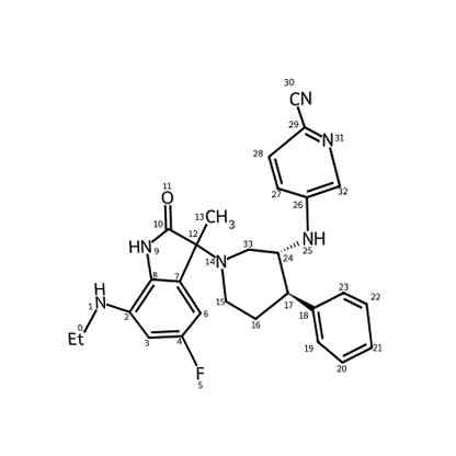 CCNc1cc(F)cc2c1NC(=O)C2(C)N1CC[C@H](c2ccccc2)[C@@H](Nc2ccc(C#N)nc2)C1